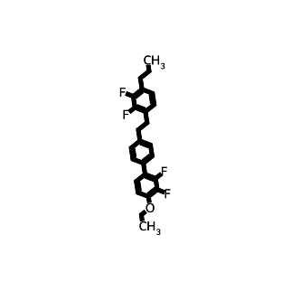 CCCc1ccc(CCc2ccc(-c3ccc(OCC)c(F)c3F)cc2)c(F)c1F